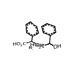 O=C(O)C(O)c1ccccc1.O=C(O)C(O)c1ccccc1.[B]